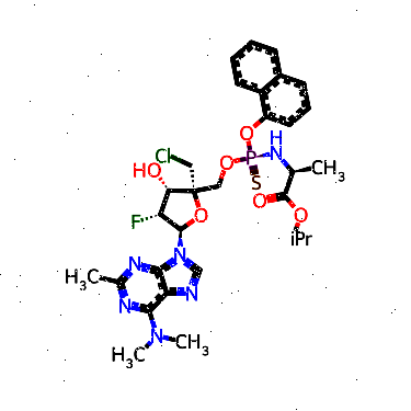 Cc1nc(N(C)C)c2ncn([C@@H]3O[C@](CCl)(CO[P@](=S)(N[C@@H](C)C(=O)OC(C)C)Oc4cccc5ccccc45)[C@@H](O)[C@H]3F)c2n1